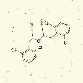 C#CC(Cc1c(Cl)cccc1Cl)OC(C#C)Cc1c(Cl)cccc1Cl